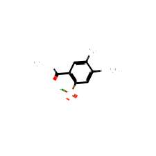 COC(=O)c1cc([N+](=O)[O-])c(OC)cc1S(=O)(=O)Cl